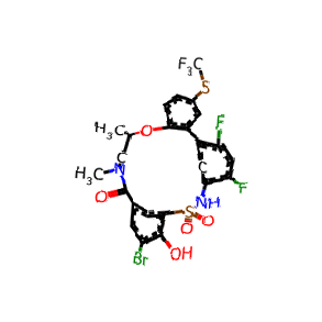 C[C@H]1CN(C)C(=O)c2cc(Br)c(O)c(c2)S(=O)(=O)Nc2cc(c(F)cc2F)-c2cc(SC(F)(F)F)ccc2O1